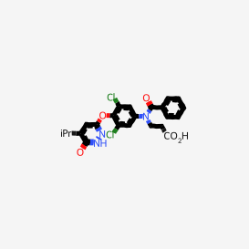 CC(C)c1cc(Oc2c(Cl)cc(N(CCC(=O)O)C(=O)c3ccccc3)cc2Cl)n[nH]c1=O